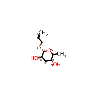 C=CCS[C@@H]1OC(C)[C@@H](O)CC1O